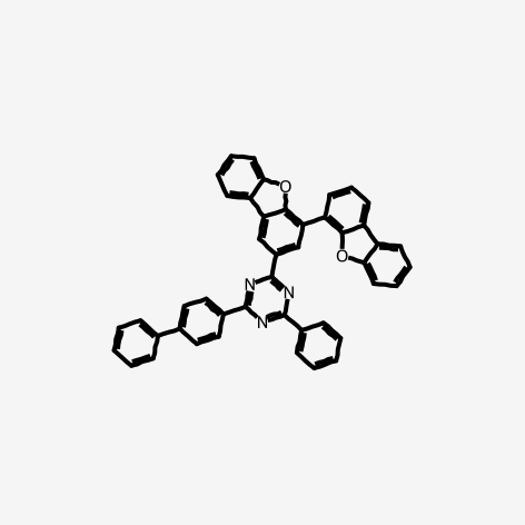 c1ccc(-c2ccc(-c3nc(-c4ccccc4)nc(-c4cc(-c5cccc6c5oc5ccccc56)c5oc6ccccc6c5c4)n3)cc2)cc1